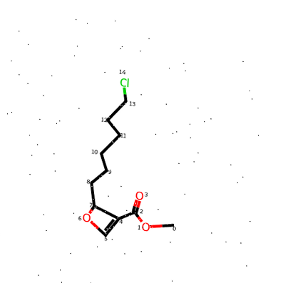 COC(=O)C1=COC1CCCCCCCl